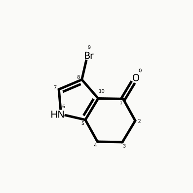 O=C1CCCc2[nH]cc(Br)c21